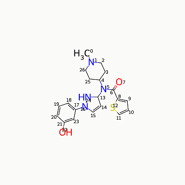 CN1CCC(N(C(=O)c2cccs2)C2C=CN(c3cccc(O)c3)N2)CC1